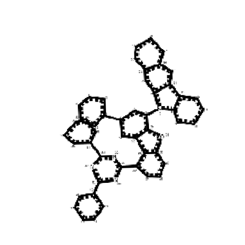 c1ccc(-c2cc(-n3c4ccccc4c4cc5ccccc5cc43)c3oc4cccc(-c5nc(-c6ccccc6)nc(-c6ccccc6)n5)c4c3c2)cc1